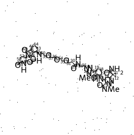 CNC(=O)c1nnc(C2(C(N)=O)CC2)cc1Nc1cccc(-c2ncn(CCNC(=O)CCOCCOCCOCCNc3cccc4c3C(=O)N(C3CCC(=O)NC3=O)C4=O)n2)c1OC